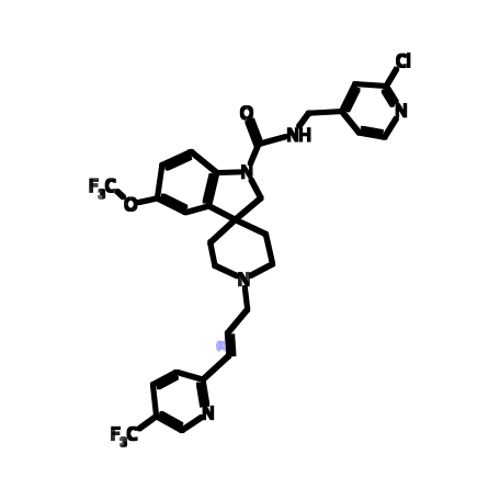 O=C(NCc1ccnc(Cl)c1)N1CC2(CCN(C/C=C/c3ccc(C(F)(F)F)cn3)CC2)c2cc(OC(F)(F)F)ccc21